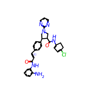 Nc1ccccc1NC(=O)/C=C/c1ccc(C2CN(c3ncccn3)CC2C(=O)NC2=CC=C(Cl)CC2)cc1